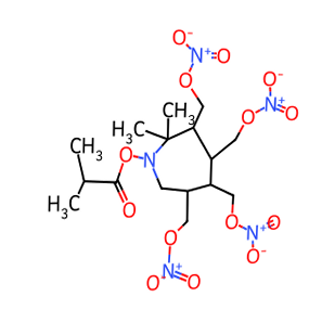 CC(C)C(=O)ON1CC(CO[N+](=O)[O-])C(CO[N+](=O)[O-])C(CO[N+](=O)[O-])C(CO[N+](=O)[O-])C1(C)C